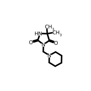 CC1(C)NC(=O)N(CN2CCCCC2)C1=O